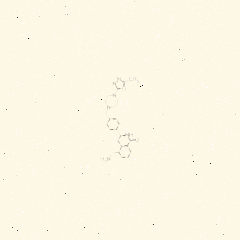 Cc1nnc(N2CCN(Cc3ccc(-c4cc5c(CN)cccc5c(=O)[nH]4)cc3)CC2)o1